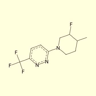 CC1CCN(c2ccc(C(F)(F)F)nn2)CC1F